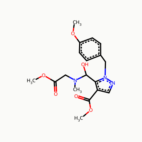 COC(=O)CN(C)C(O)c1c(C(=O)OC)cnn1Cc1ccc(OC)cc1